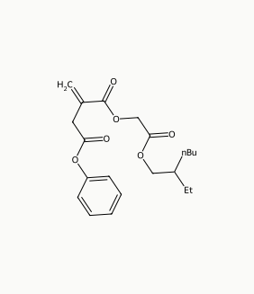 C=C(CC(=O)Oc1ccccc1)C(=O)OCC(=O)OCC(CC)CCCC